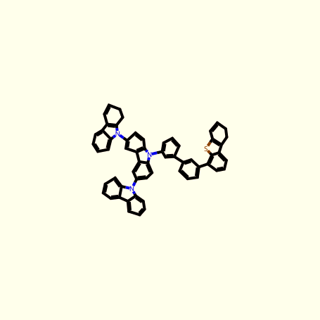 C1=Cc2sc3c(-c4cccc(-c5cccc(-n6c7ccc(-n8c9c(c%10ccccc%108)C=CCC9)cc7c7cc(-n8c9ccccc9c9ccccc98)ccc76)c5)c4)cccc3c2CC1